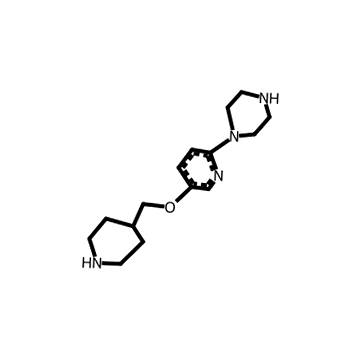 c1cc(N2CCNCC2)ncc1OCC1CCNCC1